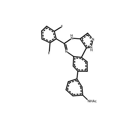 CC(=O)Nc1cccc(-c2ccc3c(c2)N=C(c2c(F)cccc2F)Nc2cn[nH]c2-3)c1